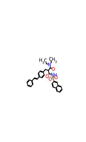 CCN(CC)C(=O)C(Cc1ccc(/C=C/c2ccccc2)cc1)C(=O)NS(=O)(=O)c1ccc2ccccc2c1